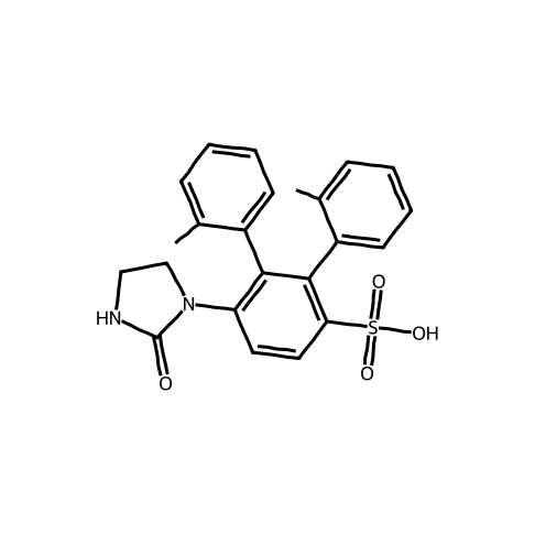 Cc1ccccc1-c1c(N2CCNC2=O)ccc(S(=O)(=O)O)c1-c1ccccc1C